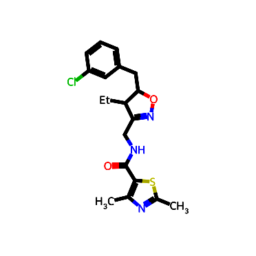 CCC1C(CNC(=O)c2sc(C)nc2C)=NOC1Cc1cccc(Cl)c1